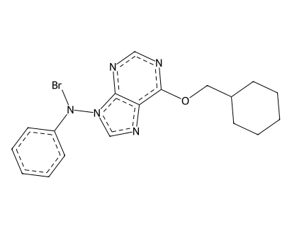 BrN(c1ccccc1)n1cnc2c(OCC3CCCCC3)ncnc21